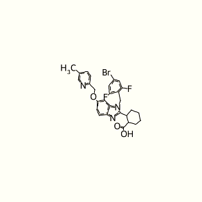 Cc1ccc(COc2ccc3nc(C4CCCCC4C(=O)O)n(Cc4c(F)cc(Br)cc4F)c3c2)nc1